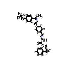 C/C(=N/Oc1ccc(/C=N/NC(=S)Nc2ccccc2C(F)(F)F)cc1)c1ccc(OC(F)(F)F)cc1